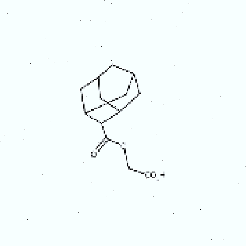 O=C(O)COC(=O)C1C2CC3CC(C2)CC1C3